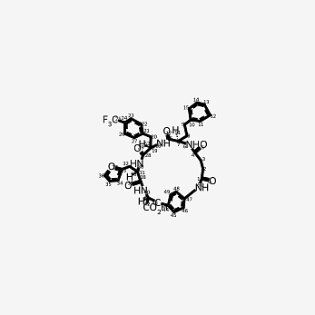 O=C1CCC(=O)N[C@H](CCc2ccccc2)C(=O)N[C@@H](Cc2ccc(C(F)(F)F)cc2)C(=O)N[C@@H](Cc2ccco2)C(=O)N[C@H](C(=O)O)Cc2ccc(cc2)N1